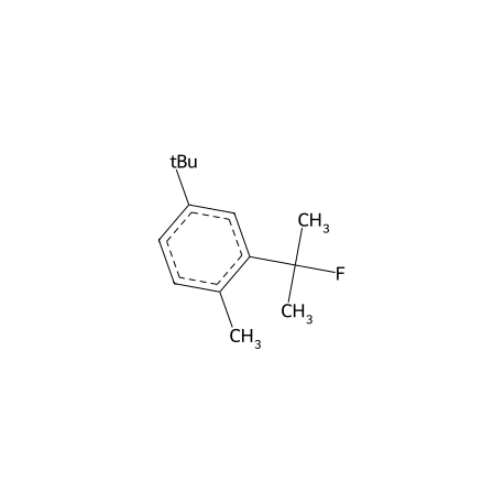 Cc1ccc(C(C)(C)C)cc1C(C)(C)F